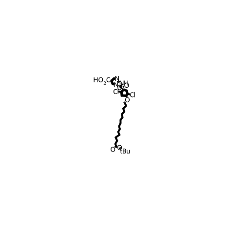 CC(C)(C)OC(=O)CCCCCCCCCCCCCCCOc1cc(Cl)c(S(=O)(=O)Nc2ncc(C(=O)O)cn2)cc1Cl